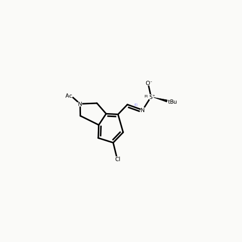 CC(=O)N1Cc2cc(Cl)cc(/C=N/[S@@+]([O-])C(C)(C)C)c2C1